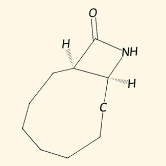 O=C1N[C@H]2CCCCCCC[C@@H]12